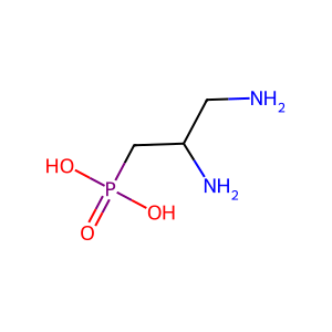 NCC(N)CP(=O)(O)O